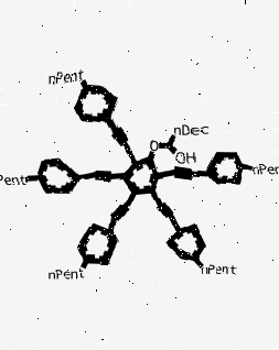 CCCCCCCCCCC(O)Oc1c(C#Cc2ccc(CCCCC)cc2)c(C#Cc2ccc(CCCCC)cc2)c(C#Cc2ccc(CCCCC)cc2)c(C#Cc2ccc(CCCCC)cc2)c1C#Cc1ccc(CCCCC)cc1